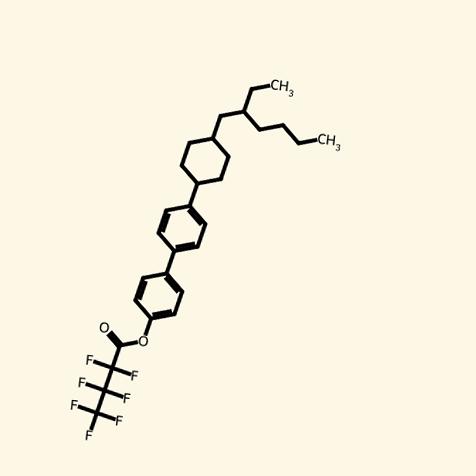 CCCCC(CC)CC1CCC(c2ccc(-c3ccc(OC(=O)C(F)(F)C(F)(F)C(F)(F)F)cc3)cc2)CC1